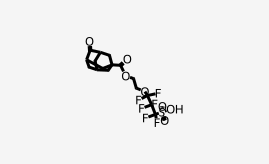 O=C1C2CC3CC1CC(C(=O)OCCOC(F)(F)C(F)(F)C(F)(F)S(=O)(=O)O)(C3)C2